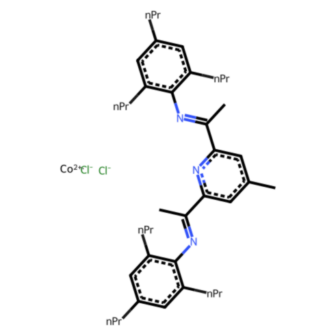 CCCc1cc(CCC)c(N=C(C)c2cc(C)cc(C(C)=Nc3c(CCC)cc(CCC)cc3CCC)n2)c(CCC)c1.[Cl-].[Cl-].[Co+2]